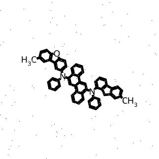 Cc1ccc2c(c1)Cc1c-2cccc1N(c1ccccc1)c1cc2c3ccccc3c(N(c3ccccc3)c3ccc4oc5ccc(C)cc5c4c3)cc2c2ccccc12